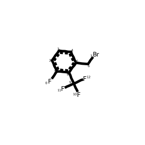 Fc1cccc(CBr)c1C(F)(F)F